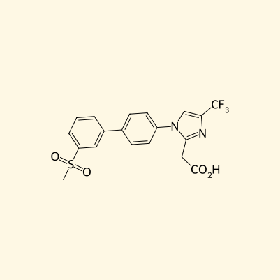 CS(=O)(=O)c1cccc(-c2ccc(-n3cc(C(F)(F)F)nc3CC(=O)O)cc2)c1